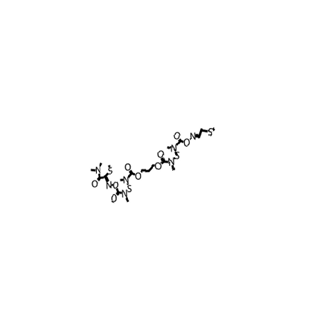 CSCC=NOC(=O)N(C)SN(C)C(=O)OCCCOC(=O)N(C)SN(C)C(=O)ON=C(SC)C(=O)N(C)C